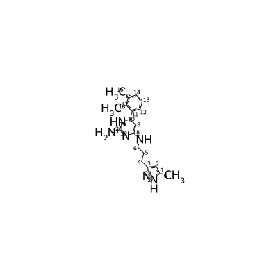 Cc1cc(CCCNC2=CC(c3cccc(C)c3C)NC(N)=N2)n[nH]1